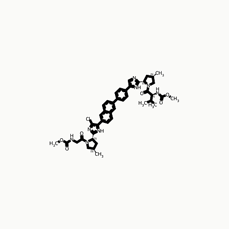 COC(=O)NCC(=O)N1C[C@@H](C)C[C@H]1c1nc(Cl)c(-c2ccc3cc(-c4ccc(-c5cnc([C@@H]6C[C@H](C)CN6C(=O)[C@@H](NC(=O)OC)C(C)C)[nH]5)cc4)ccc3c2)[nH]1